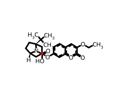 CCOc1cc2ccc(O[C@H]3C[C@@H]4CC[C@](C(C)(C)C)(C3)N4C(=O)O)cc2oc1=O